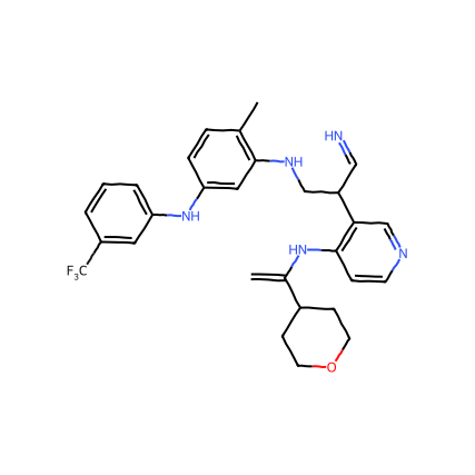 C=C(Nc1ccncc1C(C=N)CNc1cc(Nc2cccc(C(F)(F)F)c2)ccc1C)C1CCOCC1